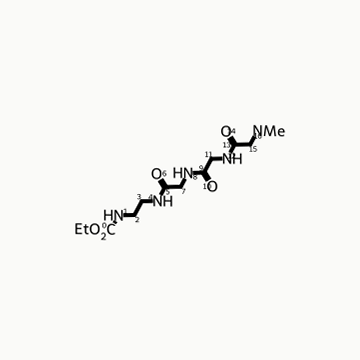 CCOC(=O)NCCNC(=O)CNC(=O)CNC(=O)CNC